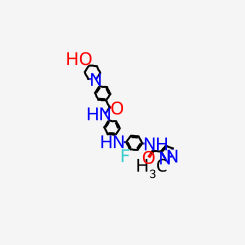 Cn1nccc1C(=O)Nc1ccc(Nc2ccc(NC(=O)c3ccc(N4CCC(O)CC4)cc3)cc2)c(F)c1